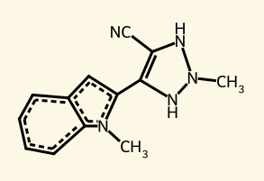 CN1NC(C#N)=C(c2cc3ccccc3n2C)N1